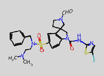 CN(C)CCN(Cc1ccccc1)S(=O)(=O)c1ccc2c(c1)C1(CCN(C=O)C1)CN2C(=O)Nc1ncc(F)s1